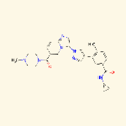 Cc1ccc(C(=O)NC2CC2)cc1-c1cnn(-c2cnc3ccc(C(=O)N4CCN(C)CC4)cn23)c1